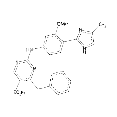 CCOC(=O)c1cnc(Nc2ccc(-c3nc(C)c[nH]3)c(OC)c2)nc1Cc1ccccc1